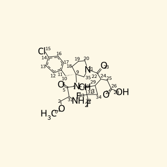 COCC(N)C(=O)N(C)[C@@]1(Cc2ccc(Cl)cc2)CCCN(C(=O)C(CC(=O)O)C2CC(F)(F)C2)C1